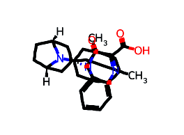 CC12CC3CC(C)(C1)CC(N1[C@@H]4CC[C@H]1C[C@@H](n1c(=O)c(C(=O)O)nc5ccccc51)C4)(C3)C2